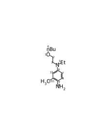 CCCCOCCN(CC)c1ccc(N)c(C)c1